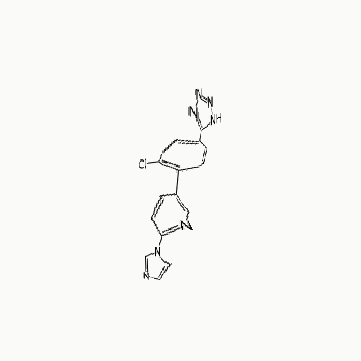 Clc1cc(-c2nnn[nH]2)ccc1-c1ccc(-n2ccnc2)nc1